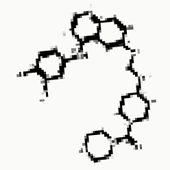 O=C(N1CCOCC1)N1CCC(OCOc2ccc3ncnc(Nc4ccc(F)c(Cl)c4)c3c2)CC1